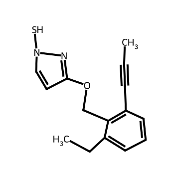 CC#Cc1cccc(CC)c1COc1ccn(S)n1